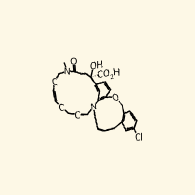 CN1CC/C=C\CCCCN2CCCCc3cc(Cl)ccc3COc3ccc(cc32)[C@@](O)(C(=O)O)CC1=O